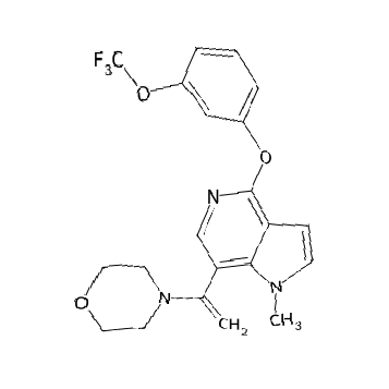 C=C(c1cnc(Oc2cccc(OC(F)(F)F)c2)c2ccn(C)c12)N1CCOCC1